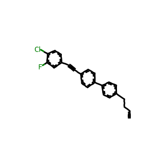 C=CCCc1ccc(-c2ccc(C#Cc3ccc(Cl)c(F)c3)cc2)cc1